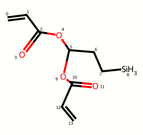 C=CC(=O)OC(CC[SiH3])OC(=O)C=C